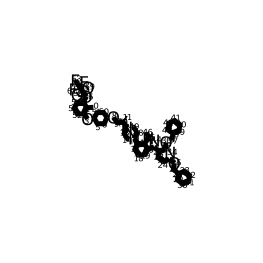 Cc1c(OC2CCC(OC[C@@H](C)N3CCN(c4cccc5c(-c6ccc(OCc7ccccc7)nc6OCc6ccccc6)nn(C)c45)CC3)CC2)cccc1OS(=O)(=O)C(F)(F)F